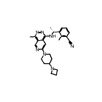 Cc1c(C#N)cccc1[C@@H](C)Nc1nnc(C)c2cnc(N3CCC(N4CCC4)CC3)cc12